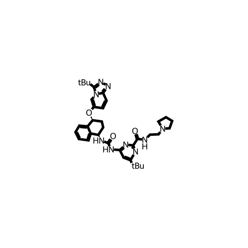 CC(C)(C)c1cc(NC(=O)N[C@H]2CC[C@@H](Oc3ccc4nnc(C(C)(C)C)n4c3)c3ccccc32)nc(C(=O)NCCN2CCCC2)n1